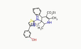 CCOC(=O)C1=C(C)NC(C)C(Nc2nc(-c3cccc(O)c3)cs2)(C(=O)OCC)C1c1ccccc1